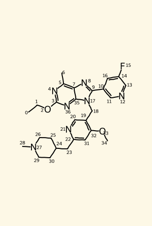 CCOc1nc(C)c2nc(-c3cncc(F)c3)n(Cc3cnc(CC4CCN(C)CC4)cc3OC)c2n1